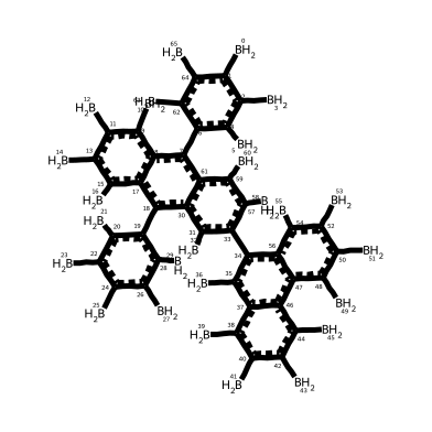 Bc1c(B)c(B)c(-c2c3c(B)c(B)c(B)c(B)c3c(-c3c(B)c(B)c(B)c(B)c3B)c3c(B)c(-c4c(B)c5c(B)c(B)c(B)c(B)c5c5c(B)c(B)c(B)c(B)c45)c(B)c(B)c23)c(B)c1B